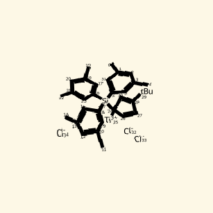 Cc1cc(C)cc([Si](c2cc(C)cc(C)c2)(c2cc(C)cc(C)c2)[C]2([Ti+3])C=CC(C(C)(C)C)=C2)c1.[Cl-].[Cl-].[Cl-]